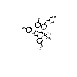 COc1ccc(C2=N[C@H](c3ccc(Cl)cc3)[C@H](c3ccc(Cl)cc3)N2C(=O)N2CCN(CC(O)CO)CC2)c(OC(C)C)c1